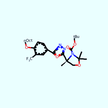 CCCCCCCCOc1ccc(-c2nnc([C@@]3(C)COC(C)(C)N3C(=O)OC(C)(C)C)o2)cc1C(F)(F)F